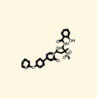 CC(CNC(=O)c1ccccc1O)(CC(O)n1ccc(-c2ccc(Oc3ccccn3)cc2)cc1=O)S(C)(=O)=O